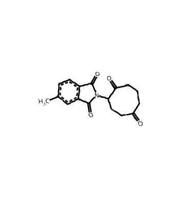 Cc1ccc2c(c1)C(=O)N(C1CCC(=O)CCCC1=O)C2=O